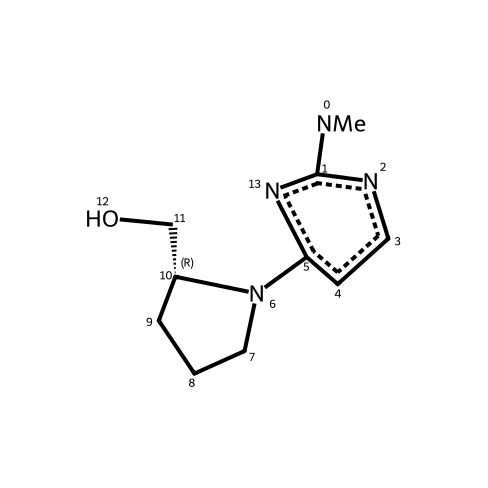 CNc1nccc(N2CCC[C@@H]2CO)n1